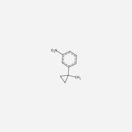 CC1(c2cccc([N+](=O)[O-])c2)CC1